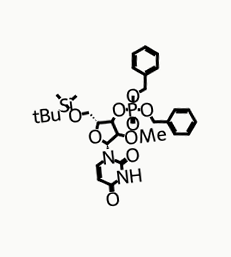 COC1C(OP(=O)(OCc2ccccc2)OCc2ccccc2)[C@@H](CO[Si](C)(C)C(C)(C)C)O[C@H]1n1ccc(=O)[nH]c1=O